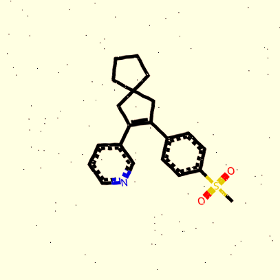 CS(=O)(=O)c1ccc(C2=C(c3cccnc3)CC3(CCCC3)C2)cc1